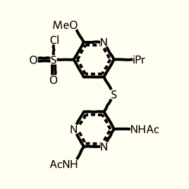 COc1nc(C(C)C)c(Sc2cnc(NC(C)=O)nc2NC(C)=O)cc1S(=O)(=O)Cl